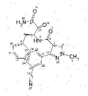 Cn1cc(C(=O)N[C@@H](Cc2ccccc2)C(=O)C(N)=O)c(-c2cccc(C#N)c2)n1